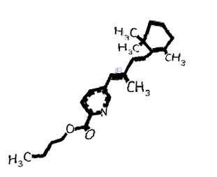 CCCCOC(=O)c1ccc(/C=C(\C)C=CC2=C(C)CCCC2(C)C)cn1